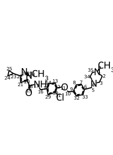 CN1CCN(Cc2ccc(COc3ccc(CNC(=O)c4cc(C5CC5)nn4C)cc3Cl)cc2)CC1